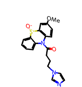 COc1ccc2c(c1)[S+]([O-])c1ccccc1N2C(=O)CCCn1ccnc1